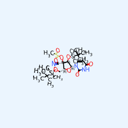 CC(C)(C)[Si](C)(C)OC[C@H]1O[C@@H](n2ccc(=O)[nH]c2=O)[C@H](O[Si](C)(C)C(C)(C)C)[C@]1(C#N)OS(C)(=O)=O